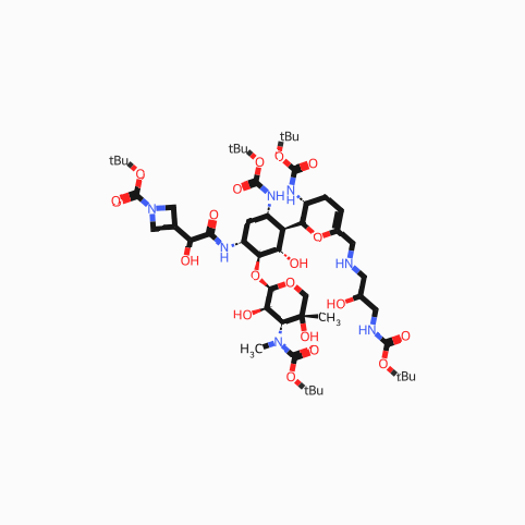 CN(C(=O)OC(C)(C)C)[C@@H]1[C@@H](O)[C@@H](O[C@@H]2[C@@H](O)[C@H](C3OC(CNCC(O)CNC(=O)OC(C)(C)C)=CC[C@H]3NC(=O)OC(C)(C)C)[C@@H](NC(=O)OC(C)(C)C)C[C@H]2NC(=O)C(O)C2CN(C(=O)OC(C)(C)C)C2)OC[C@]1(C)O